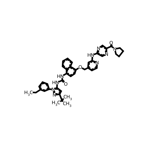 CCc1cccc(-n2nc(C(C)(C)C)cc2NC(=O)Nc2ccc(OCc3ccnc(Nc4cnc(C(=O)N5CCCC5)cn4)c3)c3ccccc23)c1